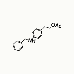 CC(=O)OCCc1ccc(NCc2ccccc2)cc1